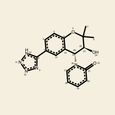 CC1(C)Oc2ccc(-c3nnn[nH]3)cc2[C@@H](n2ccccc2=O)[C@@H]1O